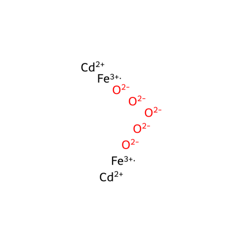 [Cd+2].[Cd+2].[Fe+3].[Fe+3].[O-2].[O-2].[O-2].[O-2].[O-2]